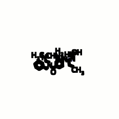 CCC/C(=N/NO)Nc1ccc(C(=O)N(CCN(C)C)Cc2ccccc2)cc1N